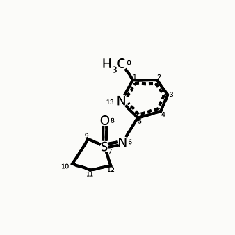 Cc1cccc(N=S2(=O)CCCC2)n1